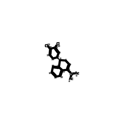 CC(=O)N(C(C)=O)C1=CC[C@@H](C2C=C(Cl)C(Cl)=CC2)c2ccccc21